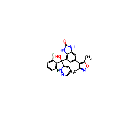 Cc1noc(C)c1-c1cc(C(O)(c2cccnn2)c2c(F)cccc2F)c2[nH]c(=O)[nH]c2c1